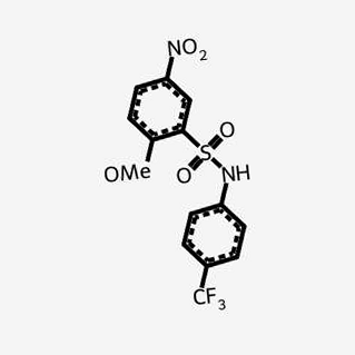 COc1ccc([N+](=O)[O-])cc1S(=O)(=O)Nc1ccc(C(F)(F)F)cc1